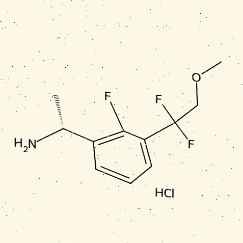 COCC(F)(F)c1cccc([C@@H](C)N)c1F.Cl